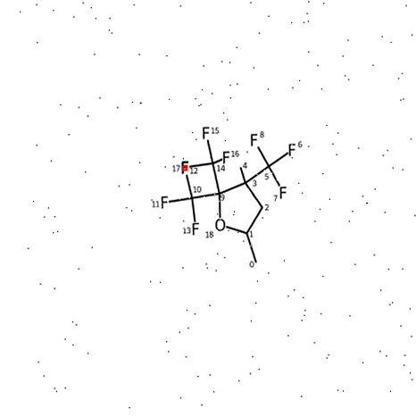 CC1CC(C)(C(F)(F)F)C(C(F)(F)F)(C(F)(F)F)O1